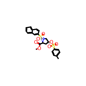 COC(=O)C1C[C@@H](OS(=O)(=O)c2ccc(C)cc2)CN1S(=O)(=O)c1ccc2ccccc2c1